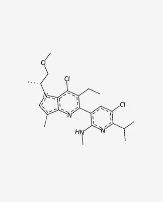 CCc1c(-c2cc(Cl)c(C(C)C)nc2NC)nc2c(C)cn([C@H](C)COC)c2c1Cl